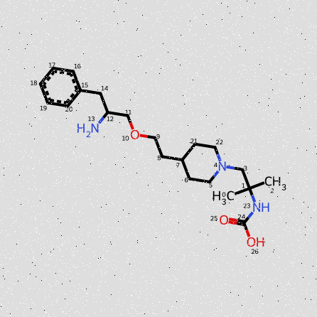 CC(C)(CN1CCC(CCOCC(N)Cc2ccccc2)CC1)NC(=O)O